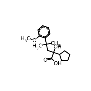 COc1ccccc1C(C)(C)CC(O)(C(=O)O)C1CCCC1